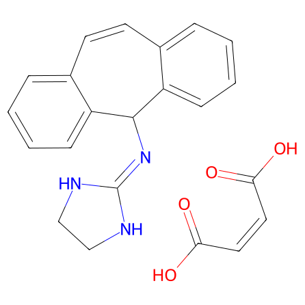 C1=Cc2ccccc2C(N=C2NCCN2)c2ccccc21.O=C(O)/C=C\C(=O)O